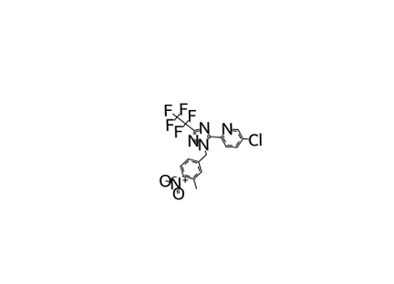 Cc1cc(Cn2nc(C(F)(F)C(F)(F)F)nc2-c2ccc(Cl)cn2)ccc1[N+](=O)[O-]